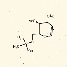 CC(=O)O[C@H]1[C@H](OC(C)=O)C=CO[C@@H]1CO[Si](C)(C)C(C)(C)C